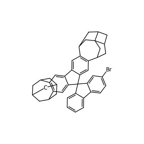 Brc1ccc2c(c1)C1(c3ccccc3-2)c2cc3c(cc2-c2cc4c(cc21)C1CC2CC5CC4CC52C1)C1CC2CC(C1)CC3C2